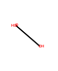 O=C(O)CCCCCCCCCCCCCCCCCCCCCCCCCCCCCCCCCCCCCCCO